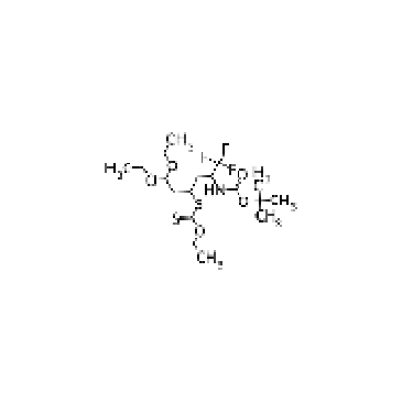 CCOC(=S)SC(CC(OCC)OCC)CC(NC(=O)OC(C)(C)C)C(F)(F)F